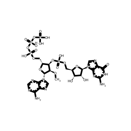 CO[C@@H]1[C@H](OP(=O)(O)OC[C@H]2O[C@@H](n3cnc4c(=O)[nH]c(N)nc43)[C@H](O)[C@@H]2O)[C@@H](COP(=O)(O)OP(=O)(O)OP(=O)(O)O)O[C@H]1n1cnc2c(N)ncnc21